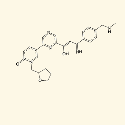 CNCc1ccc(C(=N)/C=C(\O)c2cncc(-c3ccc(=O)n(CC4CCCO4)c3)n2)cc1